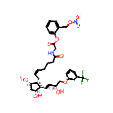 O=C(CCC/C=C\C[C@@H]1[C@@H](/C=C/[C@@H](O)COc2cccc(C(F)(F)F)c2)[C@H](O)C[C@@H]1O)NCC(=O)Oc1ccccc1CO[N+](=O)[O-]